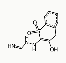 N=CNNC1=C(O)Cc2ccccc2S1(=O)=O